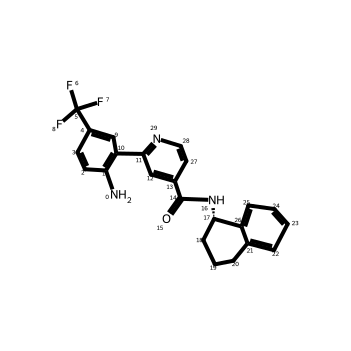 Nc1ccc(C(F)(F)F)cc1-c1cc(C(=O)N[C@H]2CCCc3ccccc32)ccn1